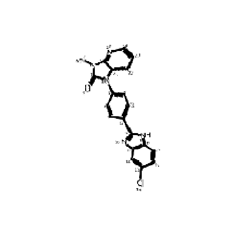 CCCCn1c(=O)n(-c2ccc(-c3nc4cc(Cl)ccc4[nH]3)cc2)c2cccnc21